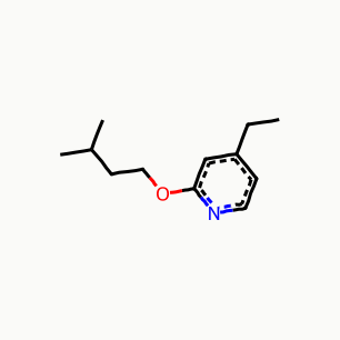 CCc1ccnc(OCCC(C)C)c1